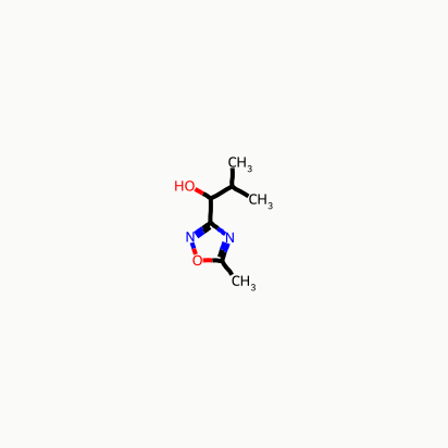 Cc1nc(C(O)C(C)C)no1